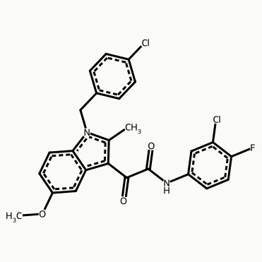 COc1ccc2c(c1)c(C(=O)C(=O)Nc1ccc(F)c(Cl)c1)c(C)n2Cc1ccc(Cl)cc1